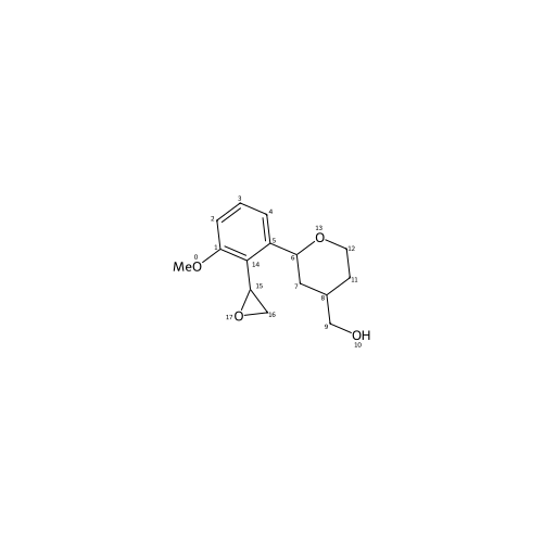 COc1cccc(C2CC(CO)CCO2)c1C1CO1